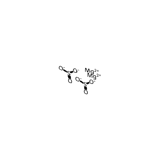 O=S([O-])[O-].O=S([O-])[O-].[Mg+2].[Mg+2]